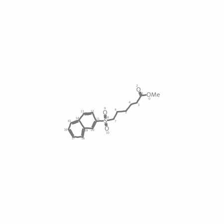 COC(=O)CCCCCS(=O)(=O)c1ccc2ccccc2c1